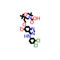 COc1cc2c(Nc3ccc(Cl)c(Cl)c3)ncnc2cc1OCCC1(C(C)(C)C)CN(C(=O)O)C(C)(C)CO1